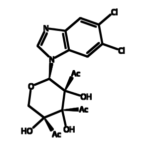 CC(=O)[C@@]1(O)[C@@](O)(C(C)=O)CO[C@@H](n2cnc3cc(Cl)c(Cl)cc32)[C@@]1(O)C(C)=O